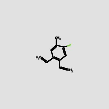 C=Cc1cc(C)c(F)cc1C=C